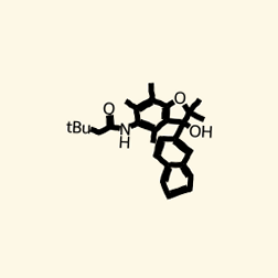 Cc1c(C)c2c(c(C)c1NC(=O)CC(C)(C)C)C(O)(c1ccc3ccccc3c1)C(C)(C)O2